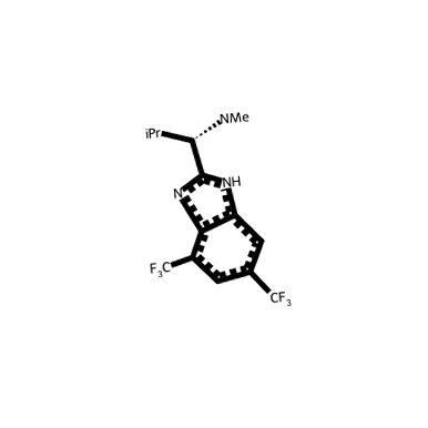 CN[C@H](c1nc2c(C(F)(F)F)cc(C(F)(F)F)cc2[nH]1)C(C)C